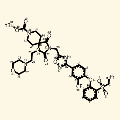 CC(C)CS(=O)(=O)c1ccccc1Oc1ccc(-c2noc(CN3C(=O)N(CCN4CCOCC4)C4(CCN(C(=O)OC(C)(C)C)CC4)C3=O)n2)cc1C(F)(F)F